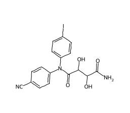 N#Cc1ccc(N(C(=O)C(O)C(O)C(N)=O)c2ccc(I)cc2)cc1